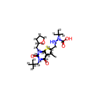 Cc1c(CNN(C(=O)O)C(C)(C)C)sc2c1c(=O)n(CC(C)(C)C)c(=O)n2CC1CCCO1